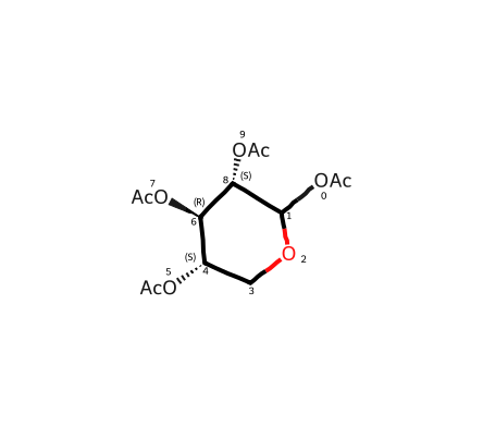 CC(=O)OC1OC[C@H](OC(C)=O)[C@@H](OC(C)=O)[C@@H]1OC(C)=O